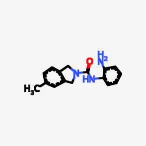 Cc1ccc2c(c1)CN(C(=O)Nc1ccccc1N)C2